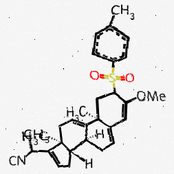 [C-]#[N+]C(C)C1=CC[C@H]2[C@@H]3CC=C4C=C(OC)C(S(=O)(=O)c5ccc(C)cc5)C[C@]4(C)C3=CC[C@]12C